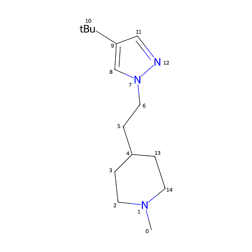 CN1CCC(CCn2cc(C(C)(C)C)cn2)CC1